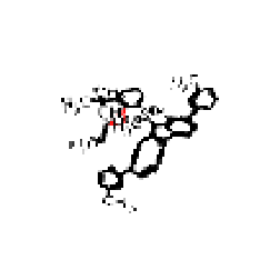 C=CCOc1c(C(C)(C)C)cccc1[Si](C)(C)C1c2cc(-c3cccc(C)c3)ccc2-c2ccc(-c3cccc(C)c3)cc21